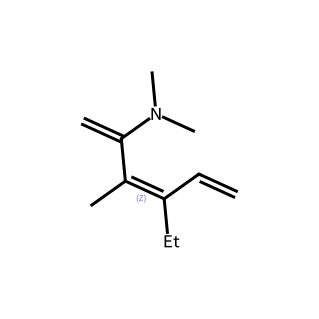 C=C/C(CC)=C(/C)C(=C)N(C)C